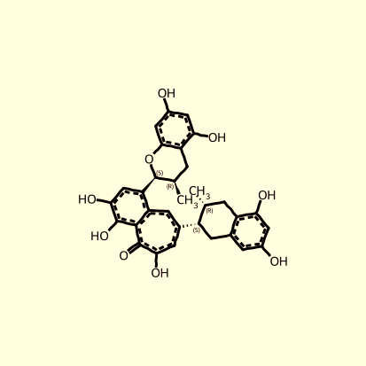 C[C@@H]1Cc2c(O)cc(O)cc2C[C@@H]1c1cc(O)c(=O)c2c(O)c(O)cc([C@H]3Oc4cc(O)cc(O)c4C[C@H]3C)c2c1